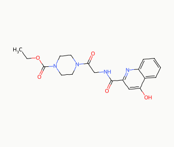 CCOC(=O)N1CCN(C(=O)CNC(=O)c2cc(O)c3ccccc3n2)CC1